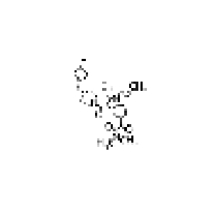 COCn1c(C)c(C(=O)N2CCC(Cc3ccc(F)cc3)CC2)c2cc(C(=O)C(=O)N(C)C)ccc21